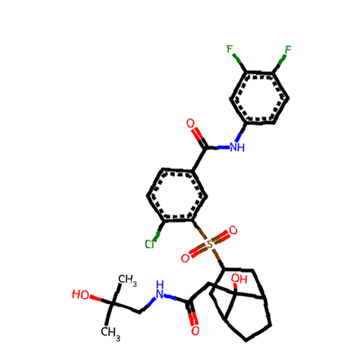 CC(C)(O)CNC(=O)CC1(O)C2CCC1CC(S(=O)(=O)c1cc(C(=O)Nc3ccc(F)c(F)c3)ccc1Cl)C2